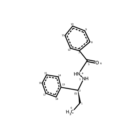 CC[C@H](NNC(=O)c1ccccc1)c1ccccc1